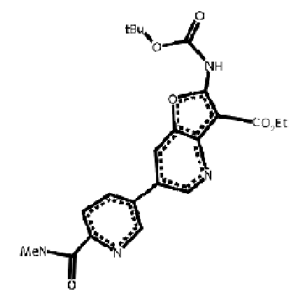 CCOC(=O)c1c(NC(=O)OC(C)(C)C)oc2cc(-c3ccc(C(=O)NC)nc3)cnc12